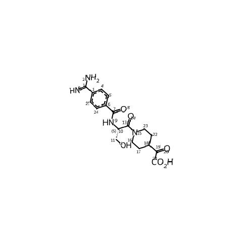 N=C(N)c1ccc(C(=O)N[C@@H](CO)C(=O)N2CCC(C(=O)C(=O)O)CC2)cc1